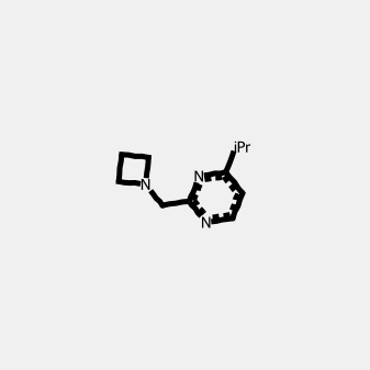 CC(C)c1ccnc(CN2CCC2)n1